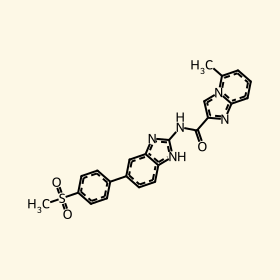 Cc1cccc2nc(C(=O)Nc3nc4cc(-c5ccc(S(C)(=O)=O)cc5)ccc4[nH]3)cn12